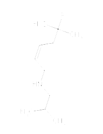 CC(C)CNC/C=C\CC(C)(C)F